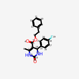 CC1=C(C(=O)OCCc2ccccc2)C(c2ccc(F)cc2)NC(=O)N1